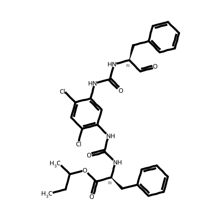 CCC(C)OC(=O)[C@H](Cc1ccccc1)NC(=O)Nc1cc(NC(=O)N[C@H](C=O)Cc2ccccc2)c(Cl)cc1Cl